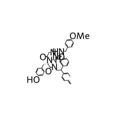 C=C/C=C\C(=C/C)C(CN1C[C@H]2N(C(=O)CN(C)N2C(=O)NCc2ccc(OC)cc2)[C@@H](Cc2ccc(O)cc2)C1=O)c1ccccc1